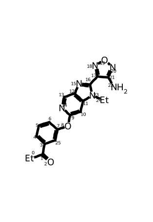 CCC(=O)c1cccc(Oc2cc3c(cn2)nc(-c2nonc2N)n3CC)c1